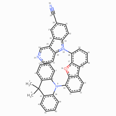 CC1(C)c2ccccc2N(c2cccc3c2oc2c(-n4c5ccncc5c5cc(C#N)ccc54)cccc23)c2ccccc21